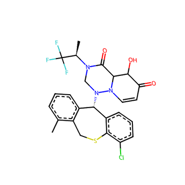 Cc1cccc2c1CSc1c(Cl)cccc1[C@H]2N1CN([C@H](C)C(F)(F)F)C(=O)C2C(O)C(=O)C=CN21